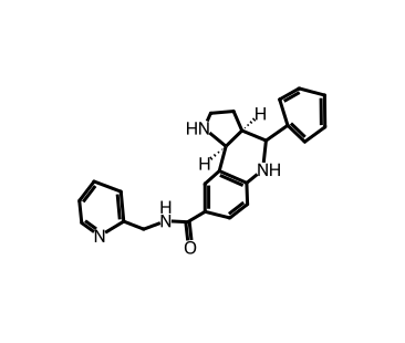 O=C(NCc1ccccn1)c1ccc2c(c1)[C@H]1NCC[C@H]1C(c1ccccc1)N2